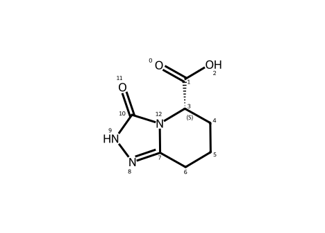 O=C(O)[C@@H]1CCCc2n[nH]c(=O)n21